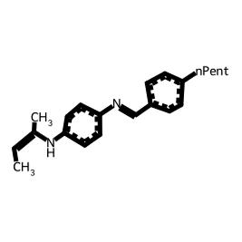 C/C=C(/C)Nc1ccc(/N=C/c2ccc(CCCCC)cc2)cc1